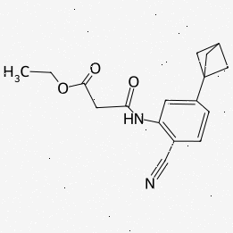 CCOC(=O)CC(=O)Nc1cc(C23CC(C2)C3)ccc1C#N